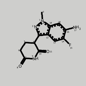 Cn1nc(C2CCC(=O)NC2=O)c2cc(F)c(N)cc21